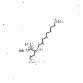 CCCCCCCCCCCCCCCCCCNC(CCC(=O)O)C(C)NC